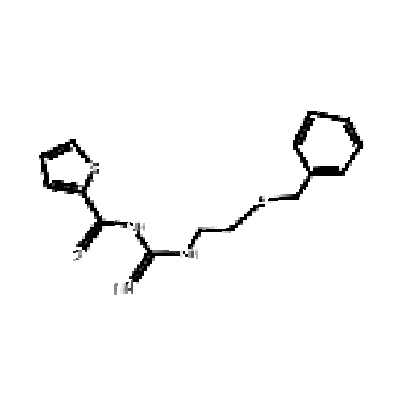 N=C(NCCSCc1ccccc1)NC(=O)c1cccs1